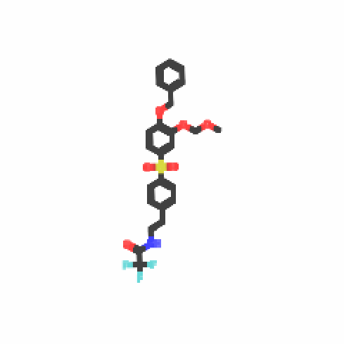 COCOc1cc(S(=O)(=O)c2ccc(CCNC(=O)C(F)(F)F)cc2)ccc1OCc1ccccc1